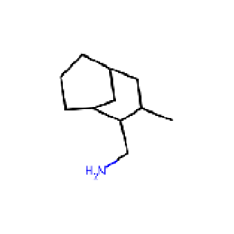 CC1CC2CCCC(C2)C1CN